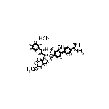 COC(=O)C[C@@H]1C[C@@H](COc2ccc(-c3ccc(C(=N)N)cc3)c(C)c2C)N(CCCc2ccccc2)C1=O.Cl